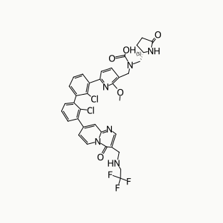 COc1nc(-c2cccc(-c3cccc(-c4ccn5c(=O)c(CNCC(F)(F)F)cnc5c4)c3Cl)c2Cl)ccc1CN(C[C@@H]1CCC(=O)N1)C(=O)O